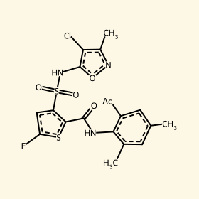 CC(=O)c1cc(C)cc(C)c1NC(=O)c1sc(F)cc1S(=O)(=O)Nc1onc(C)c1Cl